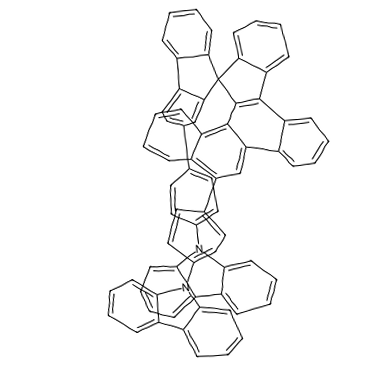 c1ccc2c(c1)-c1ccc(-c3ccc(-n4c5ccccc5c5ccccc54)cc3)cc1C21c2ccccc2-c2c1c1c3ccccc3c(-c3ccc(-n4c5ccccc5c5ccccc54)cc3)cc1c1ccccc21